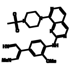 CN/C=C(\C=N)c1ccc(Nc2ncc3ccnc(N4CCN(S(C)(=O)=O)CC4)c3n2)c(OC)c1